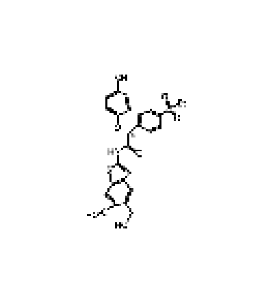 CCS(=O)(=O)c1ccc([C@@H](Oc2ccc(C#N)cc2)C(=O)Nc2nc3cc(CO)c(CO)cc3s2)cc1